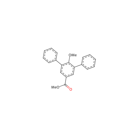 COC(=O)c1cc(-c2ccccc2)c(OC)c(-c2ccccc2)c1